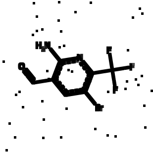 Nc1nc(C(F)(F)F)c(Br)cc1C=O